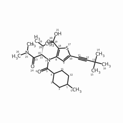 CC1CCC(C(=O)N(c2cc(C#CC(C)(C)C)sc2C(=O)O)[C@H](C(=O)N(C)C)C(C)C)CC1